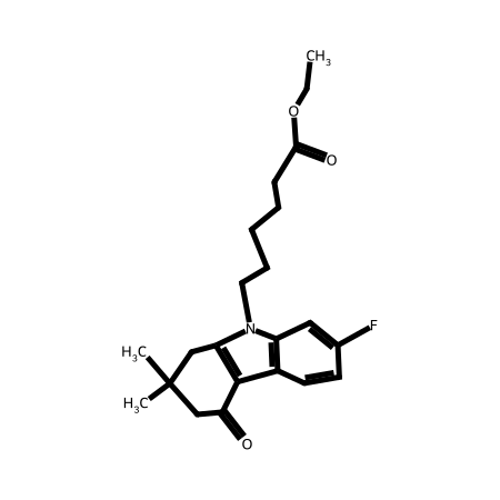 CCOC(=O)CCCCCn1c2c(c3ccc(F)cc31)C(=O)CC(C)(C)C2